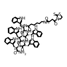 NC(=O)[C@@H](Cc1c[nH]c2ccccc12)NC(=O)[C@@H](Cc1c[nH]c2ccccc12)NC(=O)[C@@H](Cc1c[nH]c2ccccc12)NC(=O)[C@@H](Cc1c[nH]c2ccccc12)NC(=O)[C@@H](Cc1c[nH]c2ccccc12)NC(=O)CCCCCNC(=O)CCC(=O)N1CCSC1=S